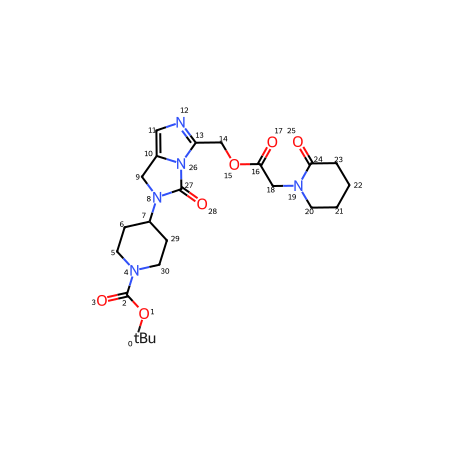 CC(C)(C)OC(=O)N1CCC(N2Cc3cnc(COC(=O)CN4CCCCC4=O)n3C2=O)CC1